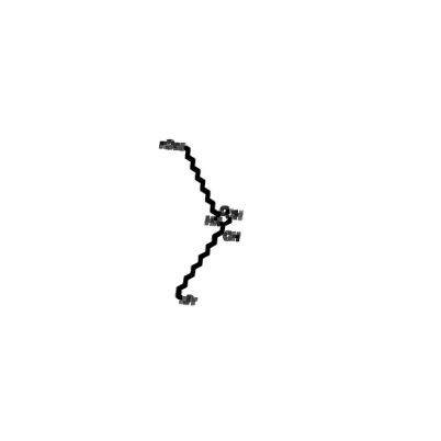 CCC/C=C\CCCCCCCC/C=C/[C@@H](O)[C@H](CO)NC(=O)CCCCCCCCCCCCCCCCCCCCCC